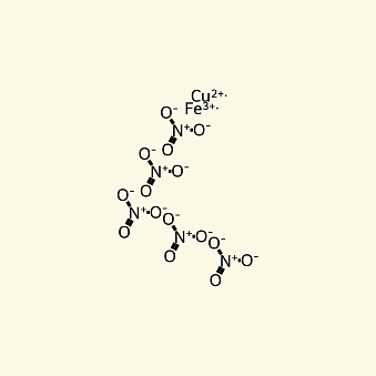 O=[N+]([O-])[O-].O=[N+]([O-])[O-].O=[N+]([O-])[O-].O=[N+]([O-])[O-].O=[N+]([O-])[O-].[Cu+2].[Fe+3]